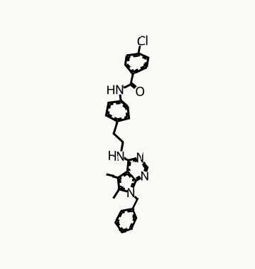 Cc1c(C)n(Cc2ccccc2)c2ncnc(NCCc3ccc(NC(=O)c4ccc(Cl)cc4)cc3)c12